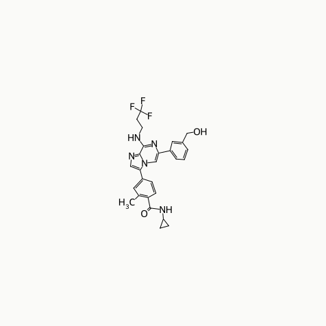 Cc1cc(-c2cnc3c(NCCC(F)(F)F)nc(-c4cccc(CO)c4)cn23)ccc1C(=O)NC1CC1